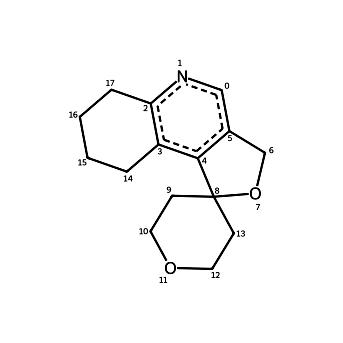 c1nc2c(c3c1COC31CCOCC1)CCCC2